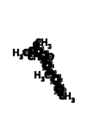 COc1cc2c(cc1OC(C)C)CN(c1ccc(N(C)CC3CCC(N4CCN(C)CC4)CC3)cc1)C(=O)C2